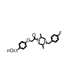 CCCCCCCCc1ccc(OCC(=O)N2CC(C)N(Cc3ccc(F)cc3)CC2C)cc1